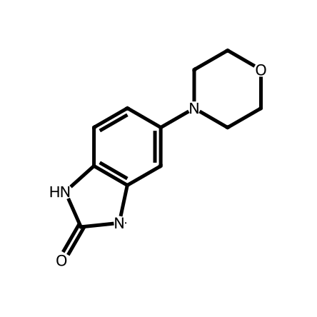 O=C1[N]c2cc(N3CCOCC3)ccc2N1